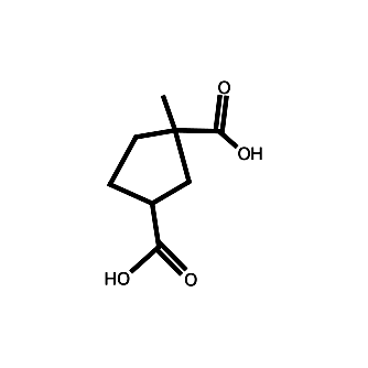 CC1(C(=O)O)CCC(C(=O)O)C1